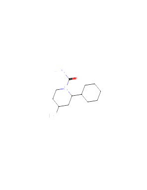 CC1CCN(C(N)=O)C(C2CCCCC2)C1